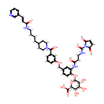 O=C(/C=C/c1cccnc1)NCCCCC1CCN(C(=O)c2cccc(OCc3ccc(O[C@@H]4O[C@H](C(=O)O)[C@@H](O)[C@H](O)[C@H]4O)c(NC(=O)CCNC(=O)N4C(=O)C=CC4=O)c3)c2)CC1